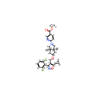 COC(=O)c1ccc(N2C[C@H]3C[C@H](OCc4c(-c5c(F)cccc5F)noc4C4CC4)C[C@H]3C2)nc1